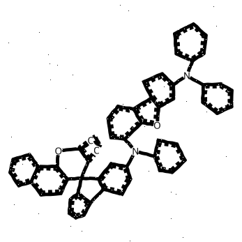 c1ccc(N(c2ccccc2)c2ccc3c(c2)oc2c(N(c4ccccc4)c4ccc5c(c4)C4(c6ccccc6Oc6c4ccc4ccccc64)c4ccccc4-5)cccc23)cc1